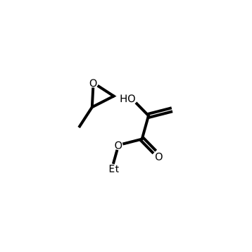 C=C(O)C(=O)OCC.CC1CO1